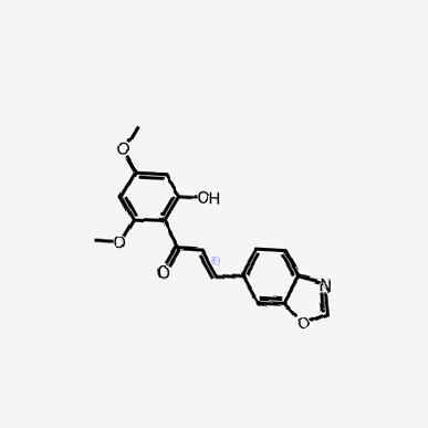 COc1cc(O)c(C(=O)/C=C/c2ccc3ncoc3c2)c(OC)c1